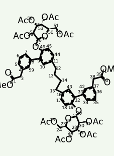 COC(=O)Cc1cccc(-c2cc(CCCCc3ccc(O[C@@H]4O[C@H](COC(C)=O)[C@@H](OC(C)=O)[C@H](OC(C)=O)[C@@H]4OC(C)=O)c(-c4cccc(CC(=O)OC)c4)c3)ccc2O[C@@H]2O[C@H](COC(C)=O)[C@@H](OC(C)=O)[C@H](OC(C)=O)[C@@H]2OC(C)=O)c1